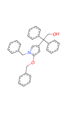 OCC(c1ccccc1)(c1ccccc1)c1cc(OCc2ccccc2)n(Cc2ccccc2)c1